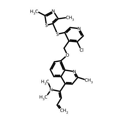 C=C/C=C(/c1cc(C)nc2c(OCc3c(Cl)cncc3Sc3sc(C)nc3C)cccc12)N(C)C